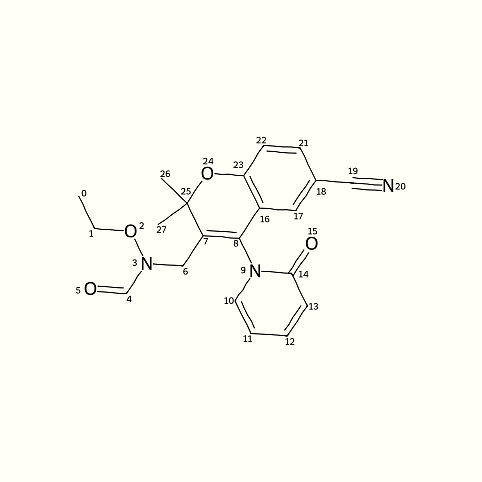 CCON(C=O)CC1=C(n2ccccc2=O)c2cc(C#N)ccc2OC1(C)C